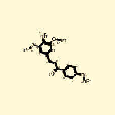 CCCOc1ccc(C(=O)/C=C/c2cc(OC(C)C)c(CCC)c(OC(C)C)c2)cc1